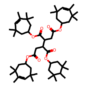 CC1=CC(C)(C)CC(OC(=O)CC(C(=O)OC2CC(C)(C)C=C(C)C(C)(C)C2)C(CC(=O)OC2CC(C)(C)C=C(C)C(C)(C)C2)C(=O)OC2CC(C)(C)C(C)C(C)(C)C2)CC1(C)C